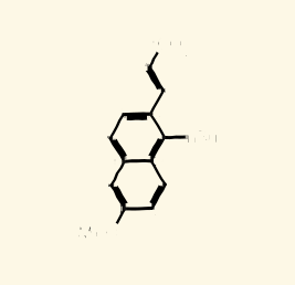 CCCCc1c(/C=C/C(=O)O)ccc2cc(OC)ccc12